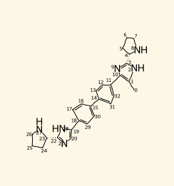 Cc1[nH]c([C@@H]2CCCN2)nc1-c1ccc(-c2ccc(-c3cnc([C@@H]4CCCN4)[nH]3)cc2)cc1